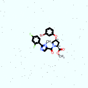 COC(=O)[C@@H]1C[C@H](Oc2cccc(Br)c2)CN1C(=O)c1cnc(-c2ccc(F)cc2F)n1C